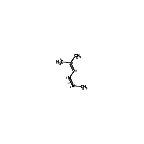 C/N=N\C=C(C)C